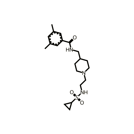 Cc1cc(C)cc(C(=O)NCC2CCN(CCNS(=O)(=O)C3CC3)CC2)c1